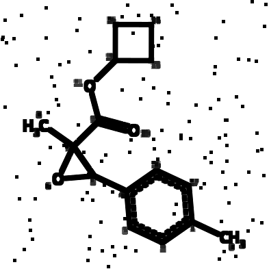 Cc1ccc(C2OC2(C)C(=O)OC2CCC2)cc1